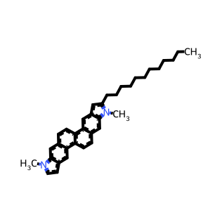 CCCCCCCCCCCCc1cc2cc3c(ccc4c5cc6ccn(C)c6cc5ccc34)cc2n1C